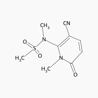 CN(c1c(C#N)ccc(=O)n1C)S(C)(=O)=O